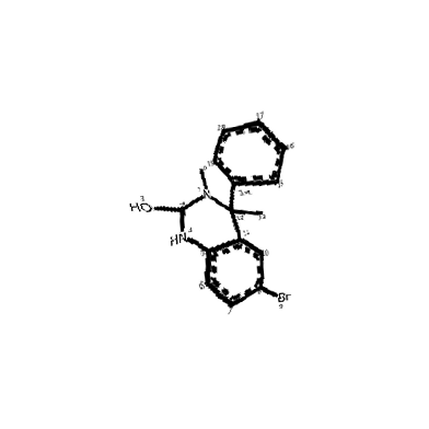 CN1C(O)Nc2ccc(Br)cc2C1(C)c1ccccc1